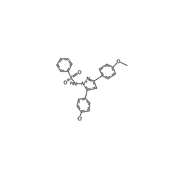 COc1ccc(-c2cc(-c3ccc(Cl)cc3)n(NS(=O)(=O)c3ccccc3)n2)cc1